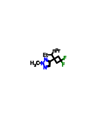 CCCC(CC)C1(c2cnn(C)n2)CC(F)(F)C1